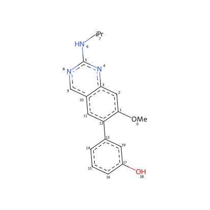 COc1cc2nc(NC(C)C)ncc2cc1-c1cccc(O)c1